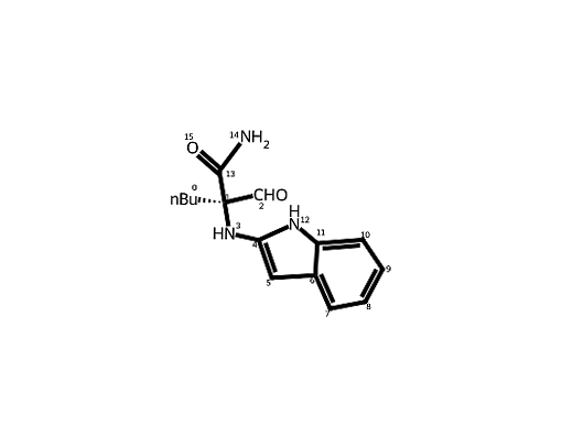 CCCC[C@](C=O)(Nc1cc2ccccc2[nH]1)C(N)=O